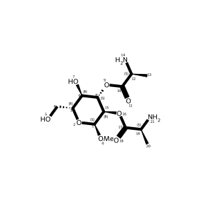 CO[C@H]1O[C@H](CO)[C@@H](O)[C@H](OC(=O)[C@H](C)N)[C@H]1OC(=O)[C@H](C)N